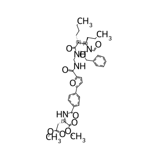 CCCC[C@@H](C(=O)NCNC(=O)c1ccc(-c2ccc(C(=O)N[C@@H](CC(=O)OC)C(=O)OC)cc2)o1)[C@@H](CCC)N(C=O)OCc1ccccc1